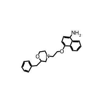 Nc1ccc(OCCN2CCOC(Cc3ccccc3)C2)c2ccccc12